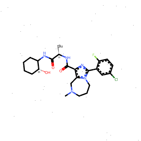 CN1CCCn2c(-c3cc(Cl)ccc3F)nc(C(=O)N[C@H](C(=O)NC3CCCC[C@H]3O)C(C)(C)C)c2C1